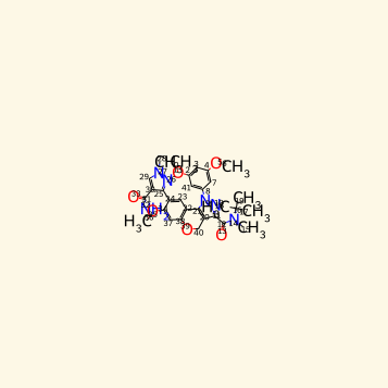 COc1cc(OC)cc(-n2nc(C(=O)N(C)C(C)(C)C)c3c2-c2cc(-c4nn(C)cc4C(N)=O)c(OC)cc2OC3)c1